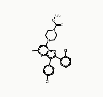 Cc1cc(N2CCN(C(=O)OC(C)(C)C)CC2)n2nc(-c3ccccc3Cl)c(-c3ccc(Cl)cc3)c2n1